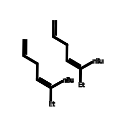 C=CCC=C(CC)CCCC.C=CCC=C(CC)CCCC